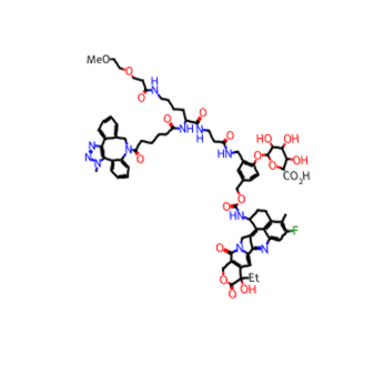 CCC1(O)C(=O)OCc2c1cc1n(c2=O)Cc2c-1nc1cc(F)c(C)c3c1c2C(NC(=O)OCc1ccc(OC2OC(C(=O)O)C(O)C(O)C2O)c(CNC(=O)CCNC(=O)C(CCCCNC(=O)CCOCCOC)NC(=O)CCCCC(=O)N2Cc4ccccc4-c4nnn(C)c4-c4ccccc42)c1)CC3